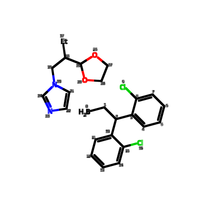 BCC(c1ccccc1Cl)c1ccccc1Cl.CCC(Cn1ccnc1)C1OCCO1